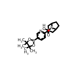 CC1(C)OB(c2ccc(N3CC4CCC(C3)N4C(=O)O)nc2)OC1(C)C